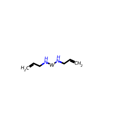 C=CC[NH][W][NH]CC=C